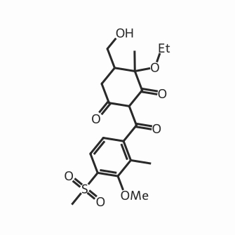 CCOC1(C)C(=O)C(C(=O)c2ccc(S(C)(=O)=O)c(OC)c2C)C(=O)CC1CO